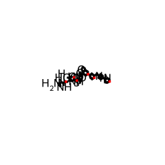 N=C(N)NCCC[C@H](NC(=O)c1sccc1NS(=O)(=O)c1cc(-c2cccc(CN3CCN(c4ccccn4)CC3)c2)cc2c1OCC2)C(=O)O